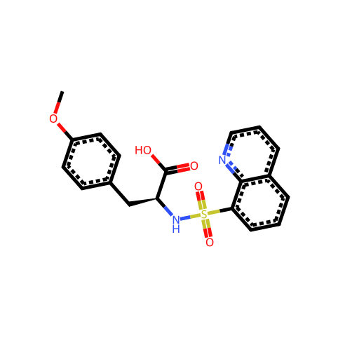 COc1ccc(C[C@H](NS(=O)(=O)c2cccc3cccnc23)C(=O)O)cc1